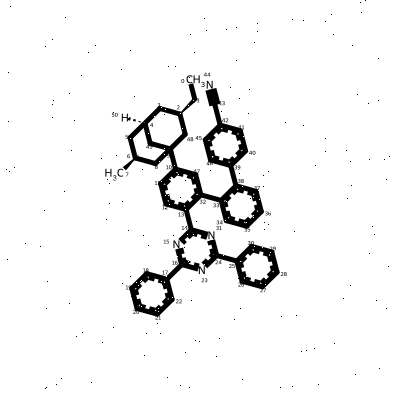 CC[C@@H]1C[C@@H]2C[C@H](C)CC(c3ccc(-c4nc(-c5ccccc5)nc(-c5ccccc5)n4)c(-c4ccccc4-c4ccc(C#N)cc4)c3)(C1)C2